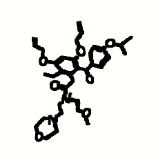 C=CCOc1cc(OCC=C)c(C(=O)c2ccc(OC(C)C)cc2)c(CC(=O)N(CCOC)CCN2CCOCC2)c1CC